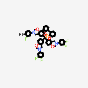 CCc1ccc(N2COc3ccc(C(c4ccc5c(c4)CN(c4ccc(F)c(F)c4)CO5)(c4ccc5c(c4)CN(c4ccc(F)c(F)c4)CO5)P4(=O)Oc5ccccc5-c5ccccc54)cc3C2)cc1F